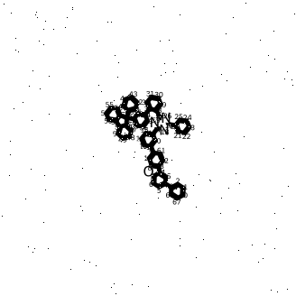 c1ccc(-c2ccc3oc4cc(-c5cccc(-c6nc(-c7ccccc7)nc(-c7ccccc7-c7cccc(C8(c9ccccc9)c9ccccc9-c9ccccc98)c7)n6)c5)ccc4c3c2)cc1